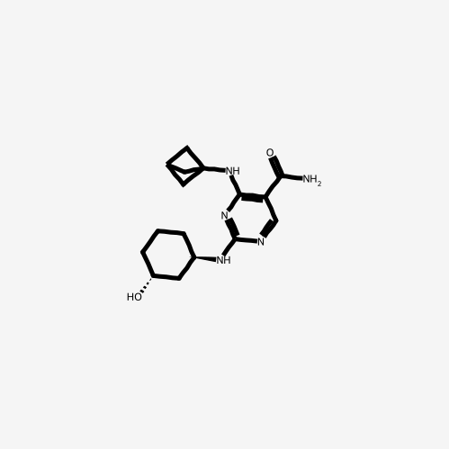 NC(=O)c1cnc(N[C@@H]2CCC[C@@H](O)C2)nc1NC12CC(C1)C2